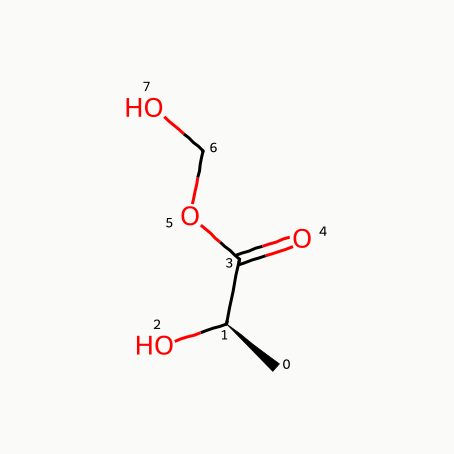 C[C@@H](O)C(=O)OCO